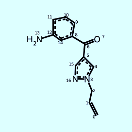 C=CCn1cc(C(=O)c2cccc(N)c2)cn1